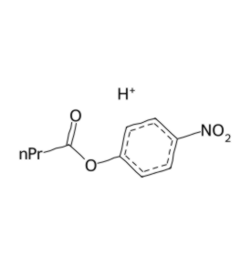 CCCC(=O)Oc1ccc([N+](=O)[O-])cc1.[H+]